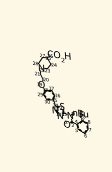 CCCCN(C(=O)c1ccccc1F)c1nnc(-c2ccc(OCCN3CCC(C(=O)O)CC3)cc2)s1